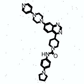 O=C(Nc1ccc(N2CCCC2)cc1)N1CCC(c2ncnc3cc(N4CCN(c5ccncc5)CC4)ccc23)CC1